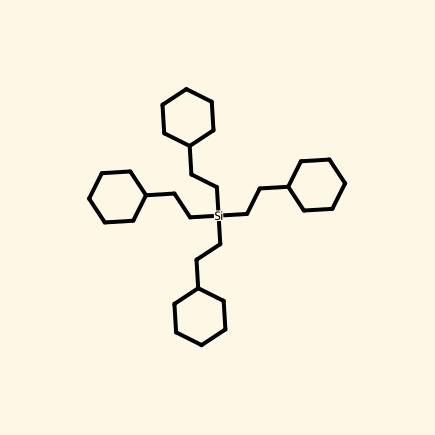 C1CCC(CC[Si](CCC2CCCCC2)(CCC2CCCCC2)CCC2CCCCC2)CC1